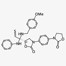 COc1ccc(CNC(C=S)(Nc2ccccc2)[C@@H]2CN(c3ccc(N4CCOC4=O)cc3)C(=O)O2)cc1